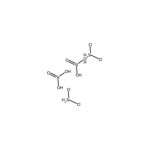 Cl[SiH2]Cl.Cl[SiH2]Cl.O=[Si](O)O.O=[Si](O)O